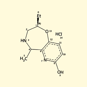 CC[C@@H]1CNC(C)c2nc(O)ccc2O1.Cl